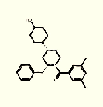 Cc1cc(C)cc(C(=O)N2CC[C@@H](N3CCC(O)CC3)C[C@H]2Cc2ccccc2)c1